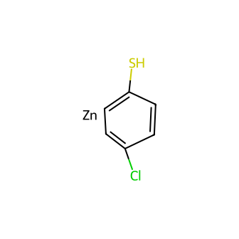 Sc1ccc(Cl)cc1.[Zn]